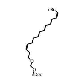 CCCC/C=C\CCCCCCCC/C=C\CCOCOCCCCCCCCCC